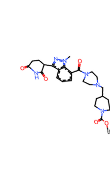 Cn1nc(C2CCC(=O)NC2=O)c2cccc(C(=O)N3CCN(CC4CCN(C(=O)OC(C)(C)C)CC4)CC3)c21